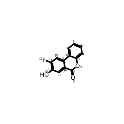 O=c1oc2ccccc2c2cc(F)c(O)cc12